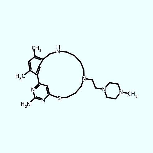 Cc1cc(C)c2cc1CNCCCCN(CCN1CCN(C)CC1)CCCSc1cc-2nc(N)n1